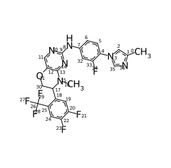 Cc1cn(-c2ccc(Nc3ncc4c(n3)N(C)C(c3cc(F)c(F)cc3C(F)(F)F)CO4)cc2F)cn1